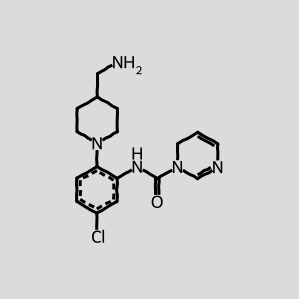 NCC1CCN(c2ccc(Cl)cc2NC(=O)N2C=NC=CC2)CC1